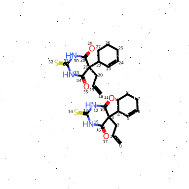 C=CCC1(C2C=CCCC2)C(=O)NC(=S)NC1=O.C=CCC1(C2C=CCCC2)C(=O)NC(=S)NC1=O